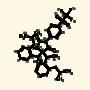 CC(C)Cc1cnccc1C(C)C1(C(C)c2ccncc2CC(C)C)NC(=O)N(c2ccc(S(=O)(=O)C(F)(F)F)cc2)C1=O